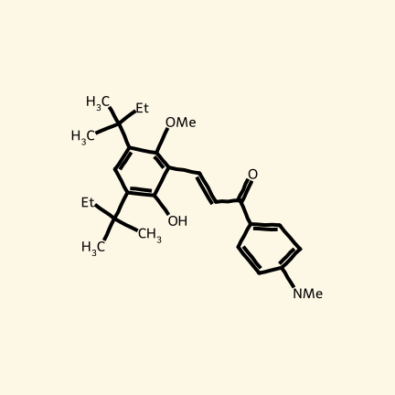 CCC(C)(C)c1cc(C(C)(C)CC)c(OC)c(C=CC(=O)c2ccc(NC)cc2)c1O